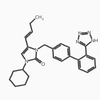 CC/C=C/c1cn(C2CCCCC2)c(=O)n1Cc1ccc(-c2ccccc2-c2nnn[nH]2)cc1